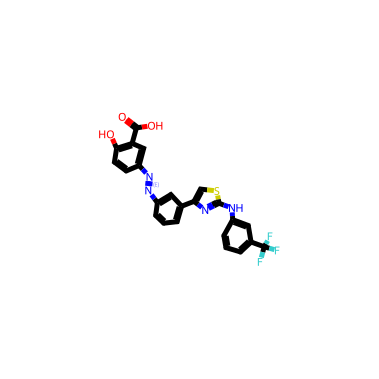 O=C(O)c1cc(/N=N/c2cccc(-c3csc(Nc4cccc(C(F)(F)F)c4)n3)c2)ccc1O